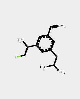 C=Cc1cc(CC(C)C)cc([C](C)CF)c1